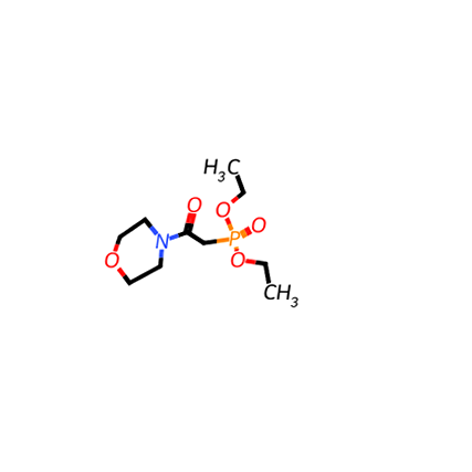 CCOP(=O)(CC(=O)N1CCOCC1)OCC